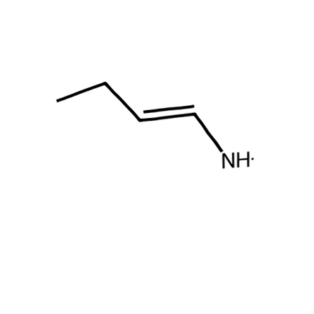 CCC=C[NH]